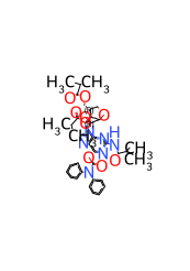 CC(C)C(=O)Nc1nc(OC(=O)N(c2ccccc2)c2ccccc2)c2ncn([C@@H]3O[C@@]4(COC(=O)C(C)C)COC3C4OC(=O)C(C)C)c2n1